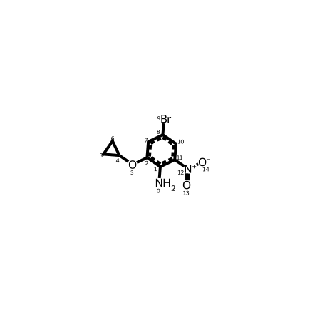 Nc1c(OC2CC2)cc(Br)cc1[N+](=O)[O-]